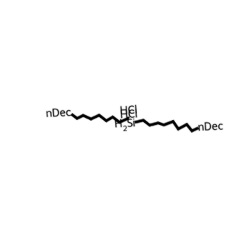 CCCCCCCCCCCCCCCCCC[SiH2]CCCCCCCCCCCCCCCCCC.Cl.Cl